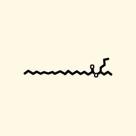 CCCCCCCCCCCCCCCCCC(=O)OC(CCC)CCCC